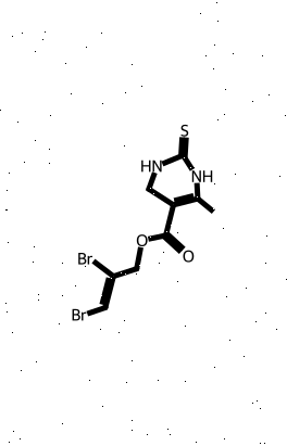 CC1=C(C(=O)OC/C(Br)=C/Br)CNC(=S)N1